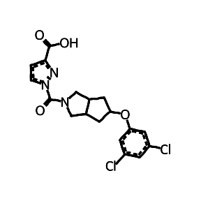 O=C(O)c1ccn(C(=O)N2CC3CC(Oc4cc(Cl)cc(Cl)c4)CC3C2)n1